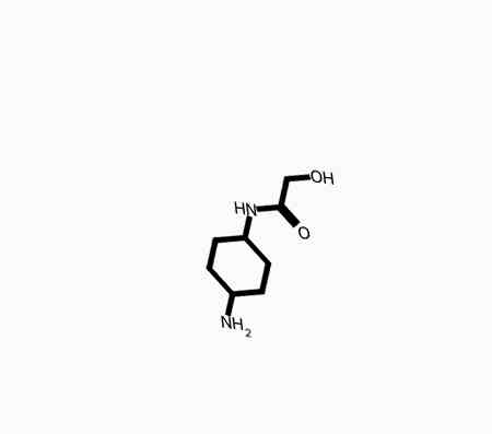 NC1CCC(NC(=O)CO)CC1